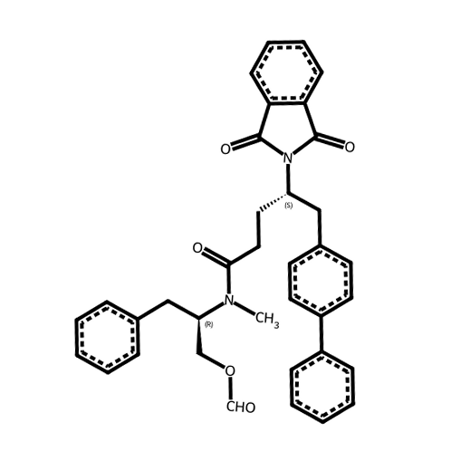 CN(C(=O)CC[C@@H](Cc1ccc(-c2ccccc2)cc1)N1C(=O)c2ccccc2C1=O)[C@@H](COC=O)Cc1ccccc1